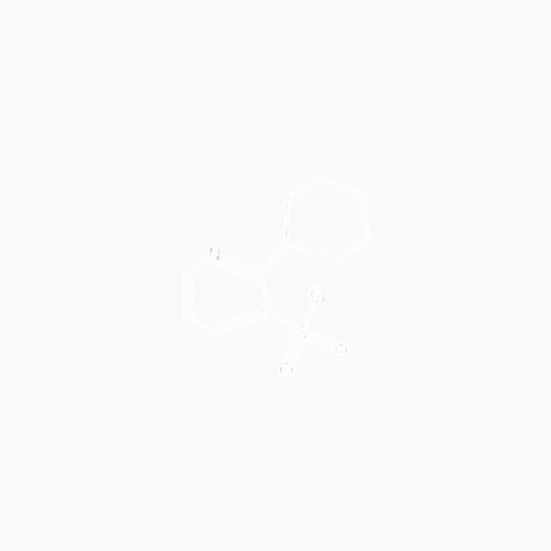 O=S(=O)(Cl)c1cccnc1C1CCCCC1